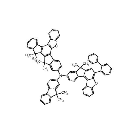 CC1(C)c2ccccc2-c2ccc(N(c3ccc4c(c3)C(C)(C)c3cc(-c5ccccc5-c5ccccc5)c5oc6ccccc6c5c3-4)c3ccc4c(c3)C(C)(C)c3c5c(c6c(oc7ccccc76)c3-4)-c3ccccc3C5(C)C)cc21